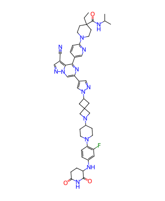 CCC1(C(=O)NC(C)C)CCN(c2ccc(-c3nc(-c4cnn(C5CC6(C5)CN(C5CCN(c7ccc(NC8CCC(=O)NC8=O)cc7F)CC5)C6)c4)cn4ncc(C#N)c34)cn2)CC1